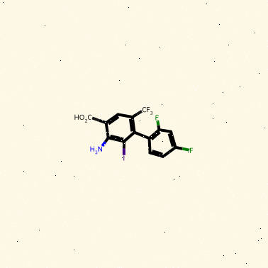 Nc1c(C(=O)O)cc(C(F)(F)F)c(-c2ccc(F)cc2F)c1I